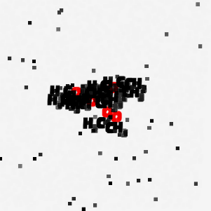 C=C(C)C(=O)OCCC[Si](C)(OC(CC)[Si](C)(C)C)[C@](C)(CC)[C@@](C)(CC)O[Si](C)(C)C(C)(CC)O[Si](C)(C)C